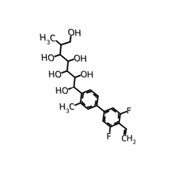 C=Cc1c(F)cc(-c2ccc([C@@H](O)C(O)C(O)C(O)C(O)C(C)CO)c(C)c2)cc1F